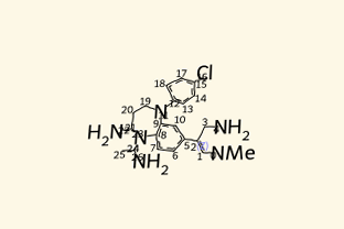 CN/C=C(\CN)c1ccc2c(c1)N(c1ccc(Cl)cc1)CCC(N)N2C(C)N